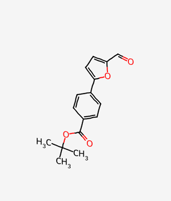 CC(C)(C)OC(=O)c1ccc(-c2ccc(C=O)o2)cc1